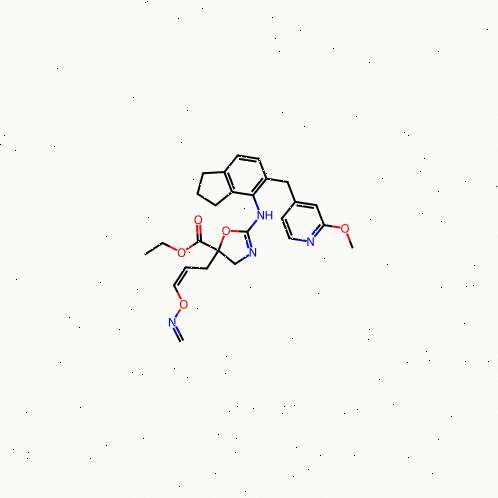 C=NO/C=C\CC1(C(=O)OCC)CN=C(Nc2c(Cc3ccnc(OC)c3)ccc3c2CCC3)O1